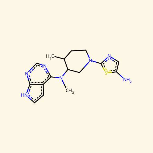 CC1CCN(c2ncc(N)s2)CC1N(C)c1ncnc2[nH]ccc12